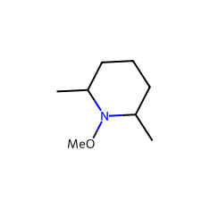 CON1C(C)CCCC1C